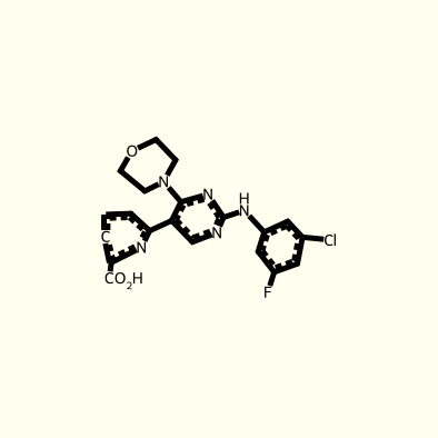 O=C(O)c1cccc(-c2cnc(Nc3cc(F)cc(Cl)c3)nc2N2CCOCC2)n1